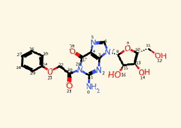 Nc1nc2c(ncn2[C@@H]2O[C@H](CO)[C@@H](O)[C@H]2O)c(=O)n1C(=O)COc1ccccc1